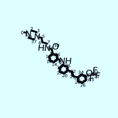 CN1CCN(CCCNC(=O)c2cccc(Nc3cccc(/C=C/c4cccc(OC(F)(F)F)c4)c3)c2)CC1